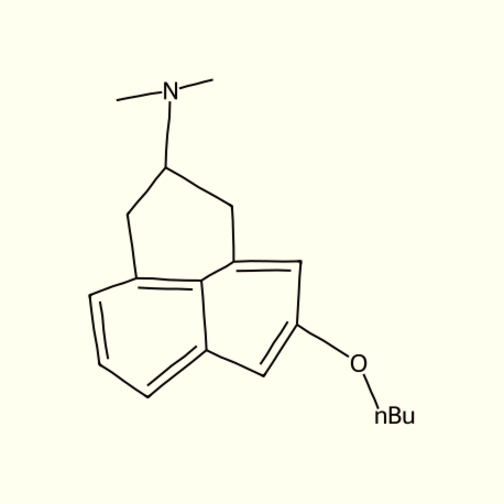 CCCCOc1cc2c3c(cccc3c1)CC(N(C)C)C2